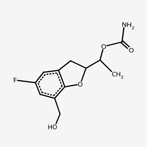 CC(OC(N)=O)C1Cc2cc(F)cc(CO)c2O1